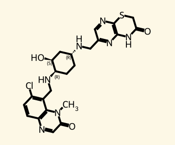 Cn1c(=O)cnc2ccc(Cl)c(CN[C@@H]3CC[C@@H](NCc4cnc5c(n4)NC(=O)CS5)C[C@@H]3O)c21